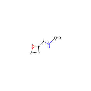 O=CNCC1CCO1